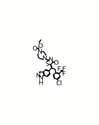 CCOC(=O)N1CCCN(C2=NC(=O)C(=C(Cc3ccc(Cl)cc3C(F)(F)F)c3ccc4[nH]ncc4c3)S2)CC1